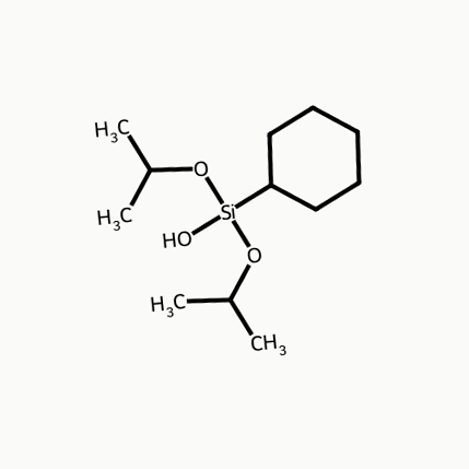 CC(C)O[Si](O)(OC(C)C)C1CCCCC1